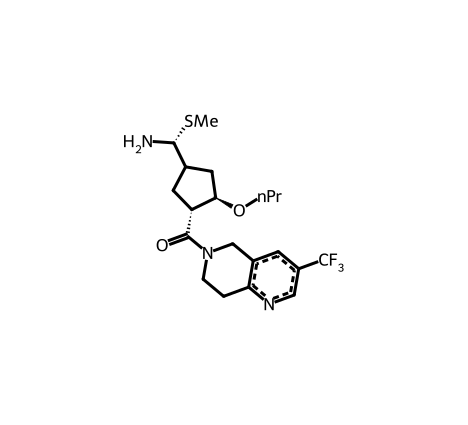 CCCO[C@@H]1CC([C@H](N)SC)C[C@H]1C(=O)N1CCc2ncc(C(F)(F)F)cc2C1